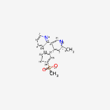 Cc1ccc(-c2ncccc2-c2ccc(S(C)(=O)=O)cc2)cn1